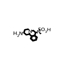 CN(C1CN2CC[C@@H](N)CC2c2ccccc21)S(=O)(=O)O